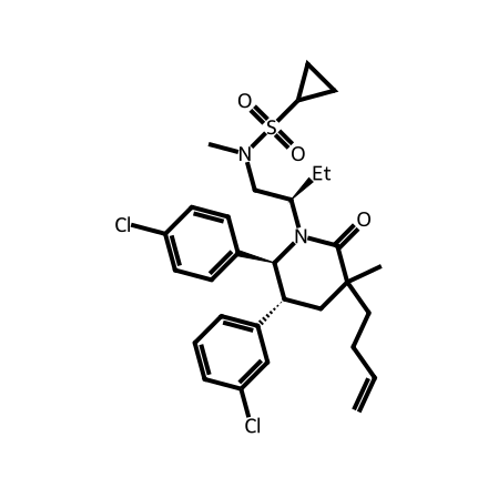 C=CCCC1(C)C[C@H](c2cccc(Cl)c2)[C@@H](c2ccc(Cl)cc2)N([C@H](CC)CN(C)S(=O)(=O)C2CC2)C1=O